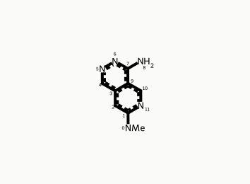 CNc1cc2cnnc(N)c2cn1